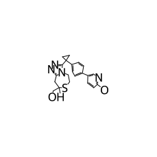 COc1ccc(-c2ccc(C3(c4nnc5n4CCSC(C)(CO)C5)CC3)cc2)cn1